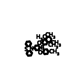 Cc1ccc2c(c1)B1c3cc4c(cc3Oc3cc(N5c6ccccc6Sc6ccccc65)cc(c31)O2)C(C)(C)CCC4(C)C